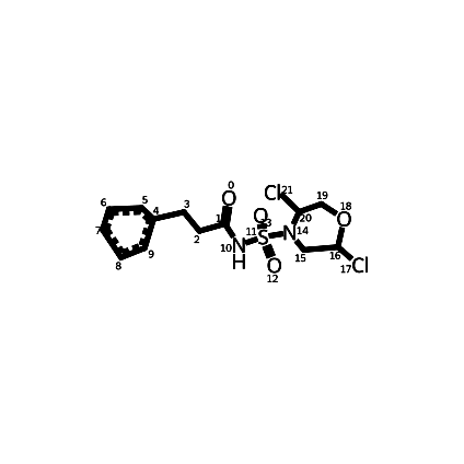 O=C(CCc1ccccc1)NS(=O)(=O)N1CC(Cl)OCC1Cl